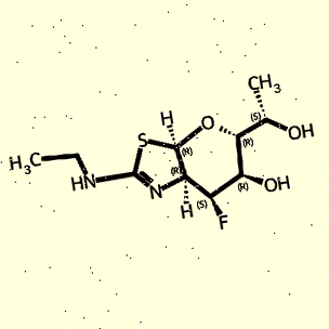 CCNC1=N[C@@H]2[C@H](F)[C@H](O)[C@@H]([C@H](C)O)O[C@@H]2S1